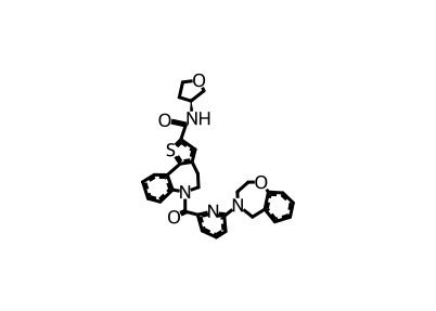 O=C(N[C@H]1CCOC1)c1cc2c(s1)-c1ccccc1N(C(=O)c1cccc(N3CCOc4ccccc4C3)n1)CC2